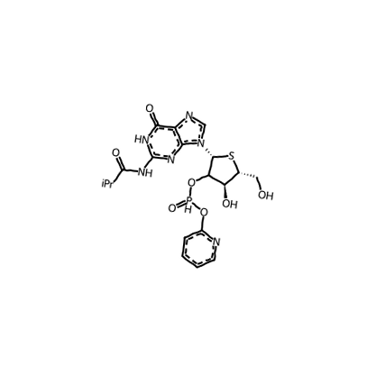 CC(C)C(=O)Nc1nc2c(ncn2[C@@H]2S[C@H](CO)[C@@H](O)C2O[PH](=O)Oc2ccccn2)c(=O)[nH]1